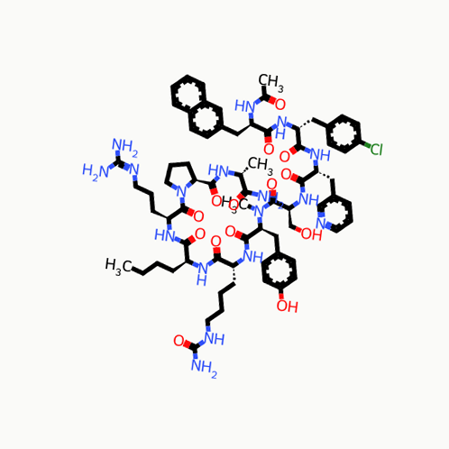 CCCC[C@H](NC(=O)[C@@H](CCCCNC(N)=O)NC(=O)[C@H](Cc1ccc(O)cc1)N(C)C(=O)[C@H](CO)NC(=O)[C@@H](Cc1cccnc1)NC(=O)[C@@H](Cc1ccc(Cl)cc1)NC(=O)[C@@H](Cc1ccc2ccccc2c1)NC(C)=O)C(=O)N[C@@H](CCCN=C(N)N)C(=O)N1CCC[C@H]1C(=O)N[C@H](C)C(N)=O